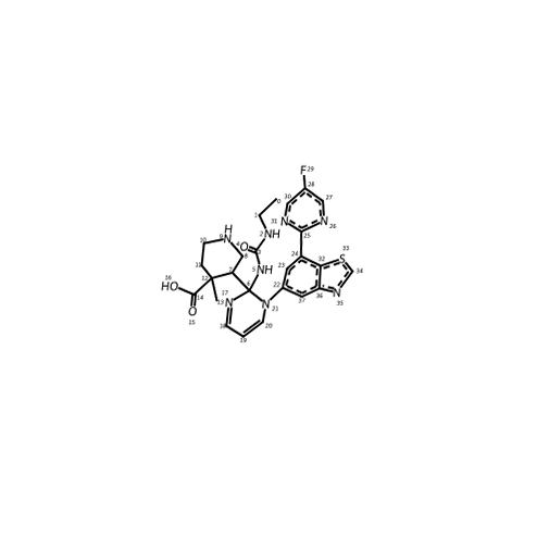 CCNC(=O)NC1(C2CNCCC2(C)C(=O)O)N=CC=CN1c1cc(-c2ncc(F)cn2)c2scnc2c1